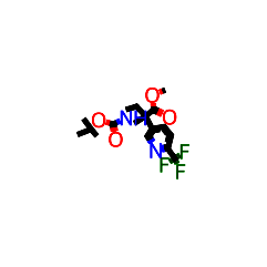 CCC(CNC(=O)OC(C)(C)C)(C(=O)OC)c1ccc(C(F)(F)F)nc1